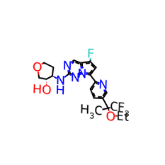 CCOC(C)(c1ccc(-c2cc(F)c3cnc(N[C@@H]4CCOC[C@H]4O)nn23)nc1)C(F)(F)F